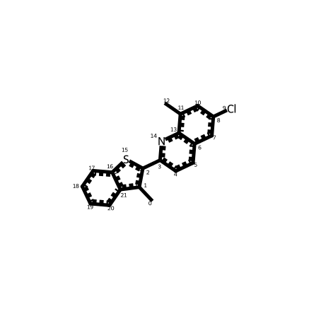 Cc1c(-c2ccc3cc(Cl)cc(C)c3n2)sc2ccccc12